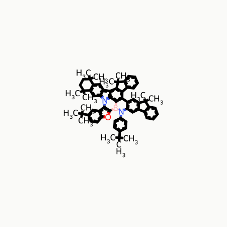 CC(C)(C)c1ccc(N2B3c4oc5ccc(C(C)(C)C)cc5c4-n4c5cc6c(cc5c5c7c(c(c3c54)-c3cc4c(cc32)-c2ccccc2C4(C)C)-c2ccccc2C7(C)C)C(C)(C)CCC6(C)C)cc1